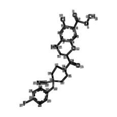 COC(=O)c1cc2c(cc1Cl)NCC(C(=O)N1CCC(C#N)(Cc3ccc(F)cc3)CC1)O2